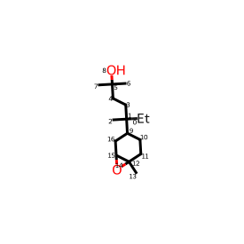 CCC(C)(CCC(C)(C)O)C1CCC2(C)OC2C1